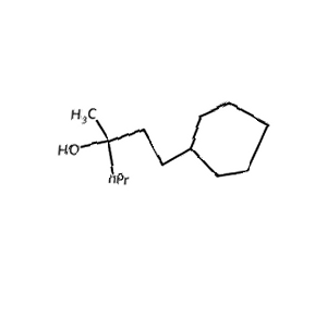 CCCC(C)(O)CCC1CCCCC1